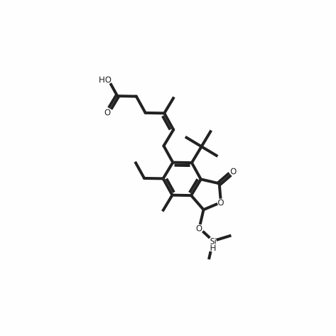 CCc1c(C)c2c(c(C(C)(C)C)c1CC=C(C)CCC(=O)O)C(=O)OC2O[SiH](C)C